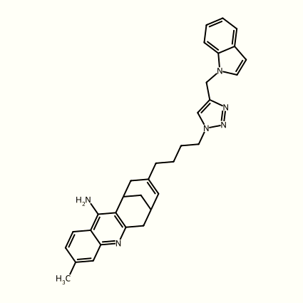 Cc1ccc2c(N)c3c(nc2c1)CC1C=C(CCCCn2cc(Cn4ccc5ccccc54)nn2)CC3C1